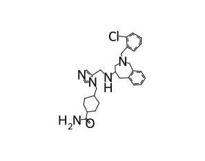 NC(=O)C1CCC(Cn2cncc2CNC2Cc3ccccc3CN(Cc3ccccc3Cl)C2)CC1